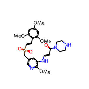 COc1cc(OC)c(C=CS(=O)(=O)Cc2cnc(OC)c(NC=CC(=O)N3CCNCC3)c2)c(OC)c1